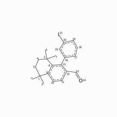 CC1(C)CCC(C)(C)c2c1ccc(C=O)c2-c1cccc(I)c1